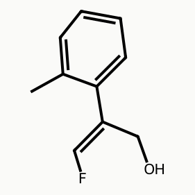 Cc1ccccc1C(=CF)CO